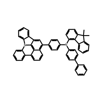 CC1(C)c2ccccc2-c2c(N(c3ccc(-c4ccccc4)cc3)c3ccc(-c4cc5c6ccccc6n6c7ccccc7c7cccc4c7c56)cc3)cccc21